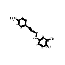 Nc1ccc(C#CCOc2ccc(Cl)c(Cl)c2)cc1